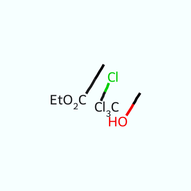 CCOC(C)=O.CO.ClC(Cl)(Cl)Cl